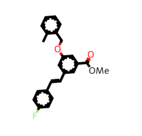 COC(=O)c1cc(C=Cc2ccc(F)cc2)cc(OCc2ccccc2C)c1